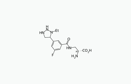 CCN1NNCC1c1cc(F)cc(C(=O)NC[C@@H](N)C(=O)O)c1